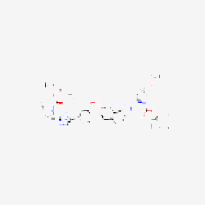 COC[C@H]1C[C@@H](c2nc3ccc4cc5c(cc4c3[nH]2)OCc2cc(-c3cnc([C@@H]4CC[C@H](C)N4C(=O)OC(C)(C)C)[nH]3)ccc2-5)N(C(=O)OC(C)(C)C)C1